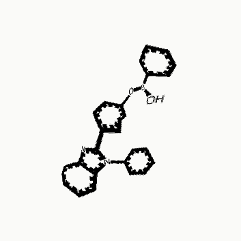 OB(Oc1ccc(-c2nc3ccccc3n2-c2ccccc2)cc1)c1ccccc1